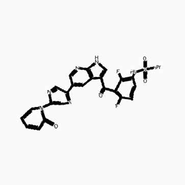 CCCS(=O)(=O)Nc1ccc(F)c(C(=O)c2c[nH]c3ncc(-c4cnc(-n5ccccc5=O)cn4)cc23)c1F